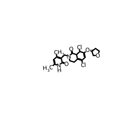 Cc1cc(C)c(CN2CCC3=C(Cl)C=C(O[C@@H]4CCOC4)C(Cl)C3C2=O)c(=O)[nH]1